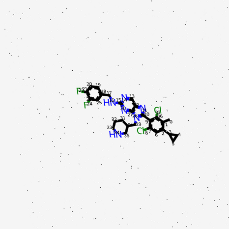 Cc1c(C2CC2)cc(Cl)c(-c2nc3cnc(NCc4ccc(F)c(F)c4)nc3n2CC2CCCNC2)c1Cl